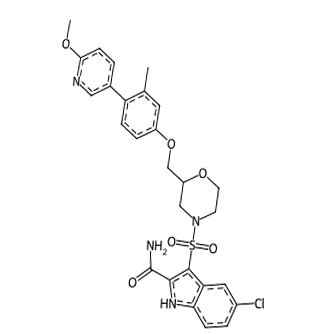 COc1ccc(-c2ccc(OCC3CN(S(=O)(=O)c4c(C(N)=O)[nH]c5ccc(Cl)cc45)CCO3)cc2C)cn1